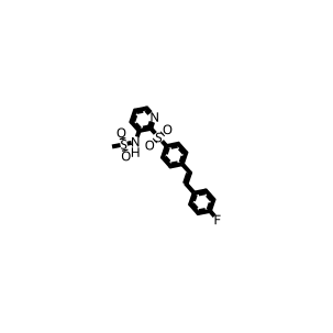 CS(=O)(=O)Nc1cccnc1S(=O)(=O)c1ccc(C=Cc2ccc(F)cc2)cc1